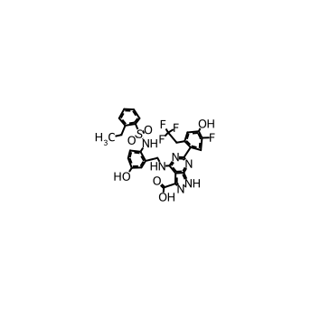 CCc1ccccc1S(=O)(=O)Nc1ccc(O)cc1CNc1nc(-c2cc(F)c(O)cc2CC(F)(F)F)nc2[nH]nc(C(=O)O)c12